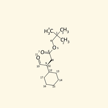 CC(C)(C)COC(=O)C[C@H](C=O)C1CCCCC1